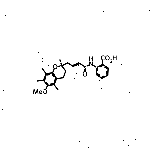 COc1c(C)c(C)c2c(c1C)CCC(C)(CC=CC(=O)Nc1ccccc1C(=O)O)O2